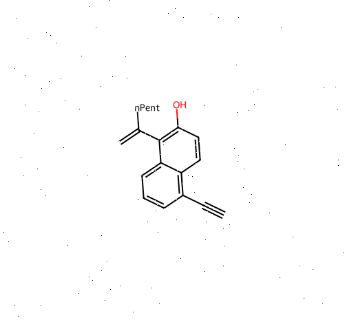 C#Cc1cccc2c(C(=C)CCCCC)c(O)ccc12